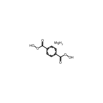 O=C(OO)c1ccc(C(=O)OO)cc1.[MgH2]